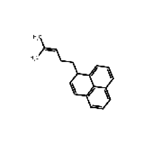 CC(C)=CCCC1C=Cc2cccc3cccc1c23